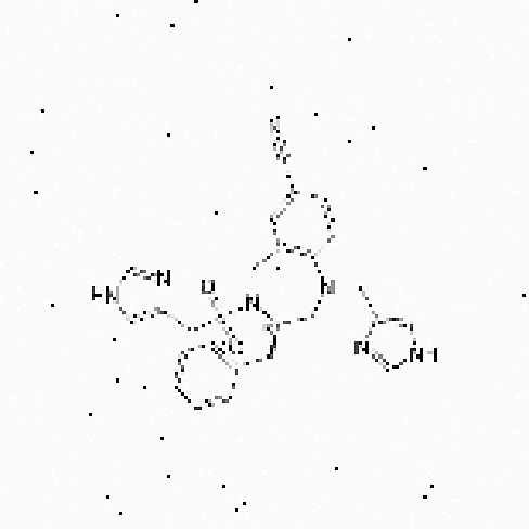 N#Cc1ccc2c(c1)CN(S(=O)(=O)Cc1c[nH]cn1)[C@H](Cc1ccccc1)CN2Cc1c[nH]cn1